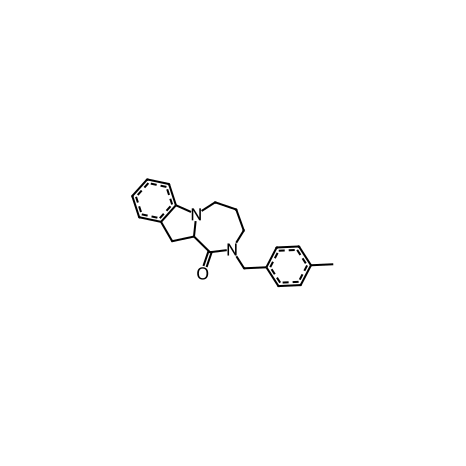 Cc1ccc(CN2CCCN3c4ccccc4CC3C2=O)cc1